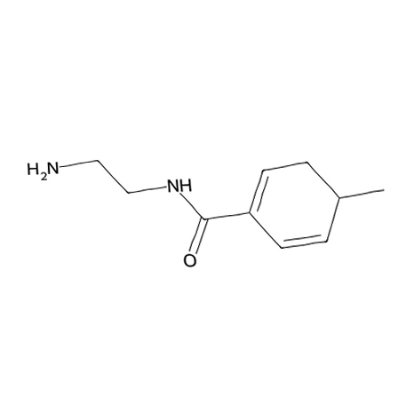 CC1C=CC(C(=O)NCCN)=CC1